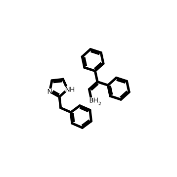 BC=C(c1ccccc1)c1ccccc1.c1ccc(Cc2ncc[nH]2)cc1